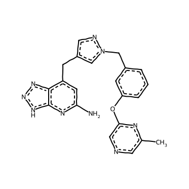 Cc1cncc(Oc2cccc(Cn3cc(Cc4cc(N)nc5[nH]nnc45)cn3)c2)n1